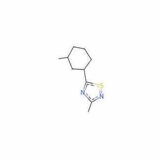 Cc1nsc(C2CCCC(C)C2)n1